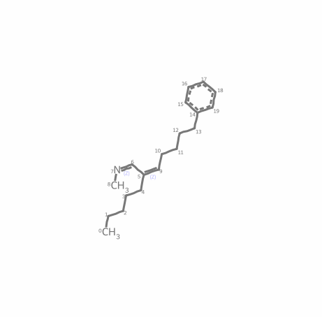 CCCCCC(/C=N\C)=C/CCCCc1ccccc1